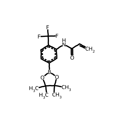 C=CC(=O)Nc1cc(B2OC(C)(C)C(C)(C)O2)ccc1C(F)(F)F